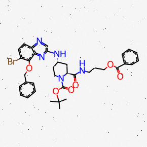 CC(C)(C)OC(=O)N1CC[C@H](Nc2cnc3ccc(Br)c(OCc4ccccc4)c3n2)C[C@H]1C(=O)NCCCOC(=O)c1ccccc1